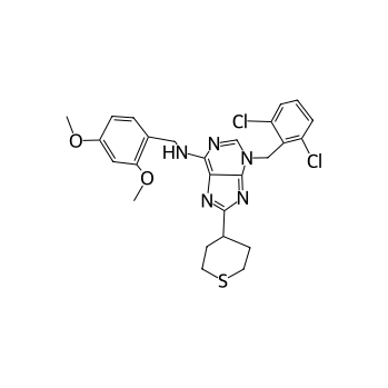 COc1ccc(CNc2ncn(Cc3c(Cl)cccc3Cl)c3nc(C4CCSCC4)nc2-3)c(OC)c1